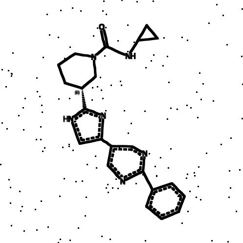 O=C(NC1CC1)N1CCC[C@@H](c2nc(-c3cnc(-c4ccccc4)nc3)c[nH]2)C1